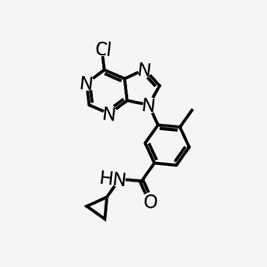 Cc1ccc(C(=O)NC2CC2)cc1-n1cnc2c(Cl)ncnc21